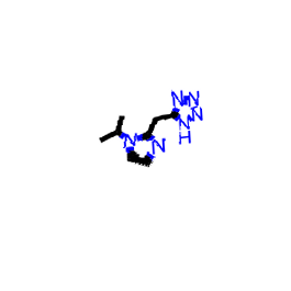 CC(C)n1ccnc1Cc1nnn[nH]1